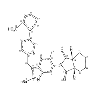 CCCCc1nc2cc(N3C(=O)[C@H]4CCCC[C@H]4C3=O)c(C)nc2n1Cc1ccc(-c2ccccc2C(=O)O)cc1